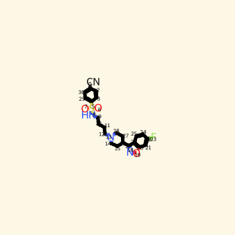 N#Cc1ccc(S(=O)(=O)NCCCCN2CCC(c3noc4cc(F)ccc34)CC2)cc1